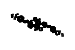 CN1C(=O)C2=C(c3ccc(/C=C/c4ccc(C(F)(F)F)cc4)s3)N(C)C(=O)C2=C1c1ccc(/C=C/c2ccc(C(F)(F)F)cc2)s1